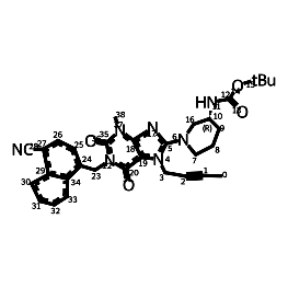 CC#CCn1c(N2CCC[C@@H](NC(=O)OC(C)(C)C)C2)nc2c1c(=O)n(Cc1ccc(C#N)c3ccccc13)c(=O)n2C